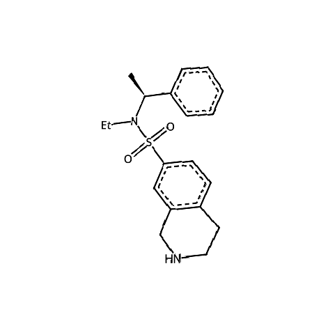 CCN([C@@H](C)c1ccccc1)S(=O)(=O)c1ccc2c(c1)CNCC2